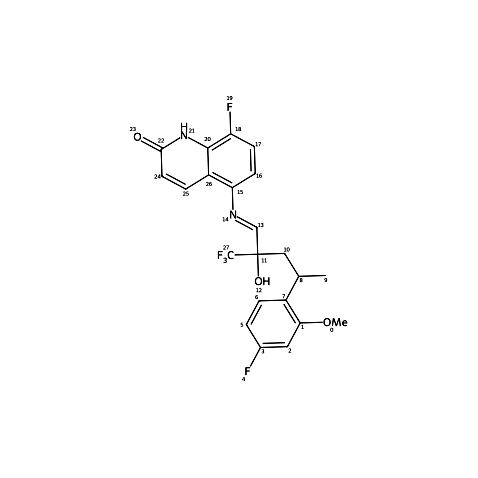 COc1cc(F)ccc1C(C)CC(O)(C=Nc1ccc(F)c2[nH]c(=O)ccc12)C(F)(F)F